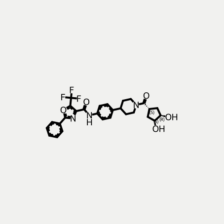 O=C(Nc1ccc(C2CCN(C(=O)[C@@H]3C[C@@H](O)[C@@H](O)C3)CC2)cc1)c1nc(-c2ccccc2)oc1C(F)(F)F